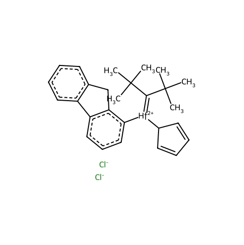 CC(C)(C)[C](=[Hf+2]([c]1cccc2c1Cc1ccccc1-2)[CH]1C=CC=C1)C(C)(C)C.[Cl-].[Cl-]